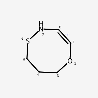 C1=C\OCCCSN/1